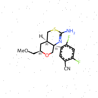 COC[C@H]1C[C@H]2CSC(N)=N[C@@]2(c2cc(C#N)c(F)cc2F)CO1